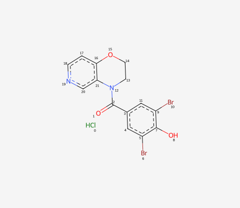 Cl.O=C(c1cc(Br)c(O)c(Br)c1)N1CCOc2ccncc21